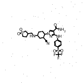 N#CC1CC(NCC2CCS(=O)(=O)C2)CCC1n1cc(C(N)=O)c(Nc2ccc(S(=O)(=O)C(F)(F)F)cc2)n1